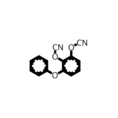 N#COc1cccc(Oc2ccccc2)c1OC#N